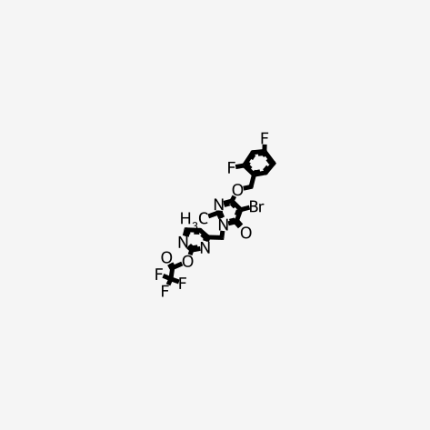 Cc1nc(OCc2ccc(F)cc2F)c(Br)c(=O)n1Cc1ccnc(OC(=O)C(F)(F)F)n1